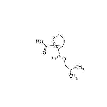 CC(C)COC(=O)C1=C(C(=O)O)C2CCC1C2